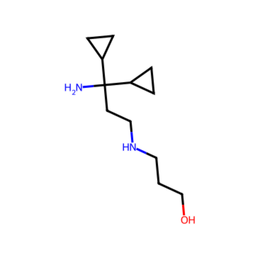 NC(CCNCCCO)(C1CC1)C1CC1